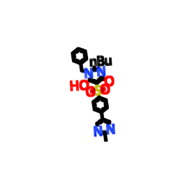 CCCCc1nc(=O)c(S(=O)(=O)c2ccc(-c3cnc(C)nc3)cc2)c(O)n1Cc1ccccc1